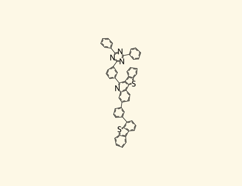 c1ccc(-c2nc(-c3ccccc3)nc(-c3cccc(-c4nc5cc(-c6cccc(-c7cccc8c7sc7ccccc78)c6)ccc5c5sc6ccccc6c45)c3)n2)cc1